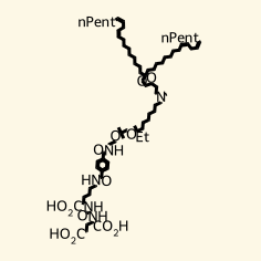 CCCCC/C=C\C/C=C\CCCCCCCCC1(CCCCCCCC/C=C\C/C=C\CCCCC)OCC(CCN(C)CCCCCCCC(C)(CC)OCC(C)(C)OCCNC(=O)c2ccc(C(=O)NCCCC[C@H](NC(=O)N[C@@H](CCC(=O)O)C(=O)O)C(=O)O)cc2)O1